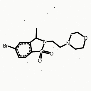 CC1c2cc(Br)ccc2S(=O)(=O)N1CCN1CCOCC1